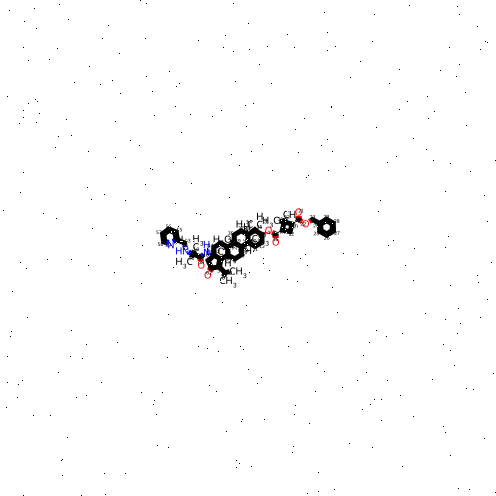 CC(C)C1=C2[C@H]3CC[C@@H]4[C@@]5(C)CC[C@H](OC(=O)[C@H]6C[C@@H](C(=O)OCc7ccccc7)C6(C)C)C(C)(C)[C@@H]5CC[C@@]4(C)[C@]3(C)CC[C@@]2(NC(=O)C(C)(C)NCc2ccccn2)CC1=O